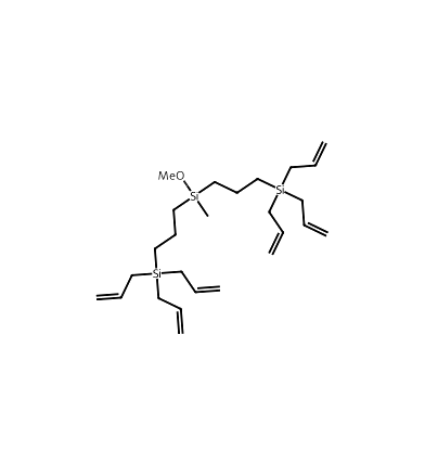 C=CC[Si](CC=C)(CC=C)CCC[Si](C)(CCC[Si](CC=C)(CC=C)CC=C)OC